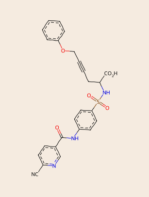 N#Cc1ccc(C(=O)Nc2ccc(S(=O)(=O)NC(CC#CCOc3ccccc3)C(=O)O)cc2)cn1